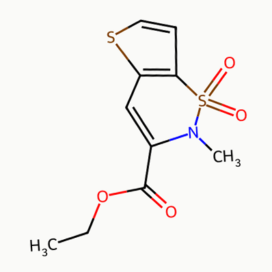 CCOC(=O)C1=Cc2sccc2S(=O)(=O)N1C